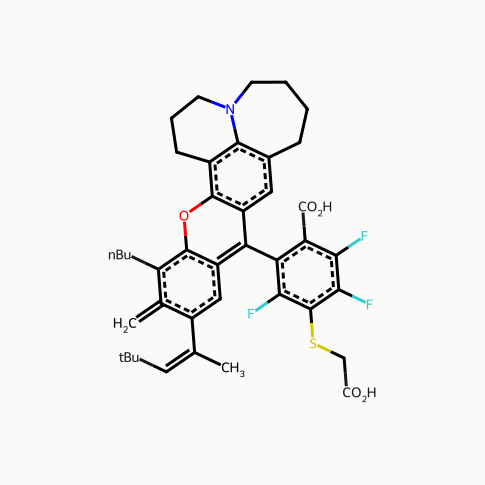 C=c1c(/C(C)=C\C(C)(C)C)cc2c(c1CCCC)Oc1c(cc3c4c1CCCN4CCCC3)C=2c1c(F)c(SCC(=O)O)c(F)c(F)c1C(=O)O